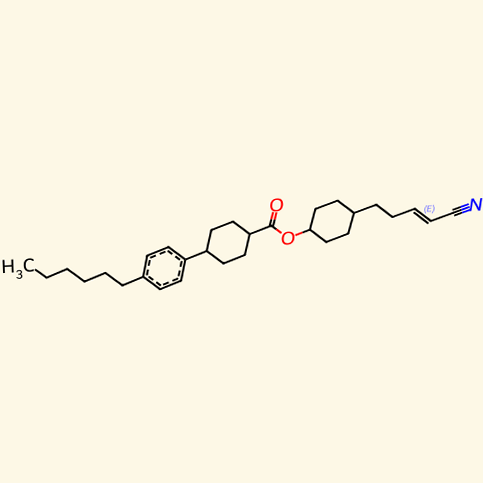 CCCCCCc1ccc(C2CCC(C(=O)OC3CCC(CC/C=C/C#N)CC3)CC2)cc1